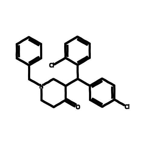 O=C1CCN(Cc2ccccc2)CC1C(c1ccc(Cl)cc1)c1ccccc1Cl